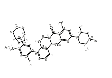 C[C@@H]1CN(c2cc(Cl)c(C(=O)N3COc4c(cccc4-c4cc(N5C6CCC5COC6)c(C(=O)O)cc4F)C3)c(Cl)c2)[C@@H](C)CN1C